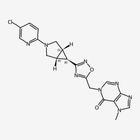 Cn1cnc2ncn(Cc3nc([C@H]4[C@@H]5CN(c6ccc(Cl)cn6)C[C@@H]54)no3)c(=O)c21